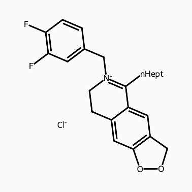 CCCCCCCC1=[N+](Cc2ccc(F)c(F)c2)CCc2cc3c(cc21)COO3.[Cl-]